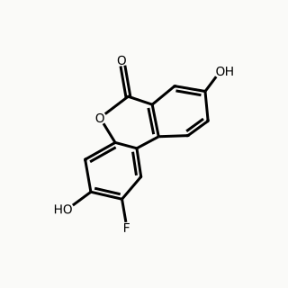 O=c1oc2cc(O)c(F)cc2c2ccc(O)cc12